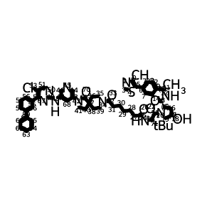 Cc1ncsc1-c1ccc([C@H](C)NC(=O)[C@@H]2C[C@@H](O)CN2C(=O)C(NC(=O)CCCCCC(=O)N2CCC3(CC2)CCN(c2cncc(Nc4ncc(Cl)c(-c5cccc(-c6ccccc6)c5)n4)c2)C3=O)C(C)(C)C)cc1